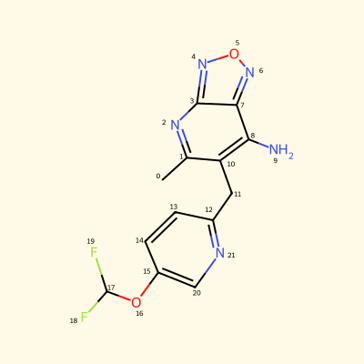 Cc1nc2nonc2c(N)c1Cc1ccc(OC(F)F)cn1